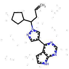 C=CCC(C1CCCC1)n1cc(-c2ncnc3[nH]ccc23)cn1